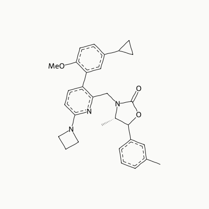 COc1ccc(C2CC2)cc1-c1ccc(N2CCC2)nc1CN1C(=O)OC(c2cccc(C)c2)[C@@H]1C